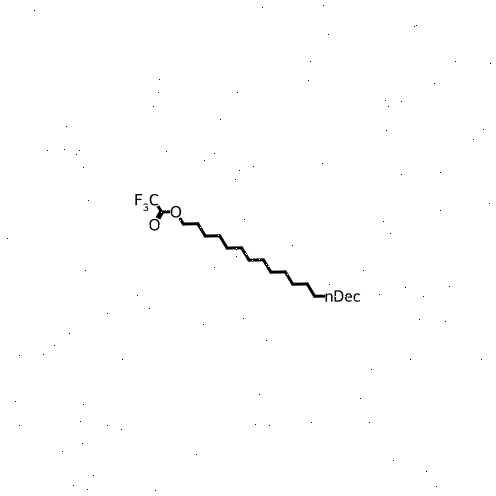 CCCCCCCCCCCCCCCCCCCCCCCOC(=O)C(F)(F)F